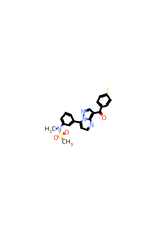 CN(c1cccc(-c2ccnc3c(C(=O)c4ccc(F)cc4)cnn23)c1)S(C)(=O)=O